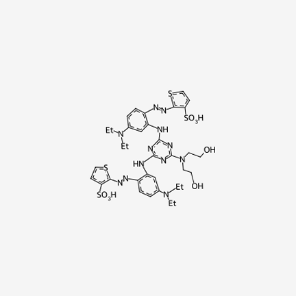 CCN(CC)c1ccc(/N=N/c2sccc2S(=O)(=O)O)c(Nc2nc(Nc3cc(N(CC)CC)ccc3/N=N/c3sccc3S(=O)(=O)O)nc(N(CCO)CCO)n2)c1